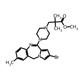 COC(=O)C(C)(C)CN1CCN(C2=Nc3ccc(C)cc3Cn3cc(Br)cc32)CC1